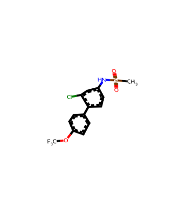 CS(=O)(=O)Nc1ccc(-c2ccc(OC(F)(F)F)cc2)c(Cl)c1